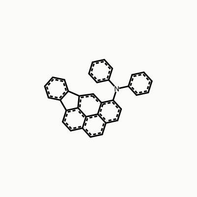 c1ccc(N(c2ccccc2)c2ccc3ccc4ccc5c6c(cc2c3c46)-c2ccccc2-5)cc1